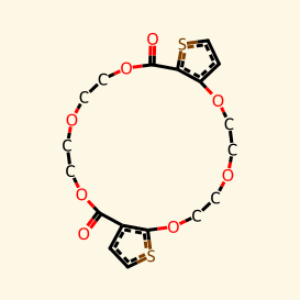 O=C1OCCOCCOC(=O)c2sccc2OCCOCCOc2sccc21